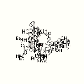 CCNCCOc1cc(NC(=O)NC(=O)C[C@@H]2NC(=O)[C@H](NC(=O)[C@@H](CC(C)C)NC)[C@H](O)c3ccc(c(C)c3)Oc3cc4cc(c3O[C@@H]3O[C@H](CO)[C@@H](O)[C@H](O)[C@H]3O[C@H]3C[C@](C)(N)[C@H](O)[C@H](C)O3)Oc3ccc(cc3Cl)[C@@H](O)[C@@H]3NC(=O)[C@H](NC(=O)[C@@H]4NC2=O)c2ccc(O)c(c2)-c2c(C)cc(O)cc2[C@@H](C(=O)NC2C4CC5CC(C4)CC2C5)NC3=O)cc(OCCNCC)c1